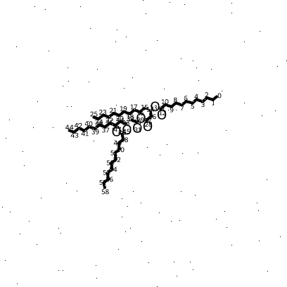 CCCCCCCCCCCC(=O)O[C@H](CCCCCCCCCCC)CC(=O)OC(=O)C[C@@H](CCCCCCCCCCC)OC(=O)CCCCCCCCCCC